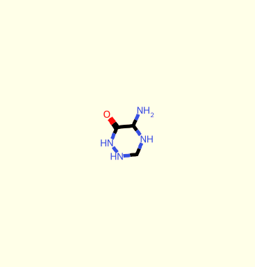 NC1NCNNC1=O